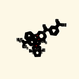 Cc1nc2ccccc2n1[C@H]1C[C@H]2CC[C@@H](C1)N2CCC1(c2ccc(C(C)C)cc2)CCN(C(=O)c2cccc(C(=O)O)c2)CC1